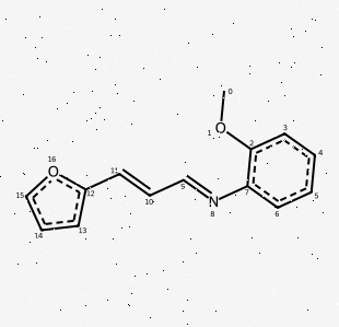 COc1ccccc1N=CC=Cc1ccco1